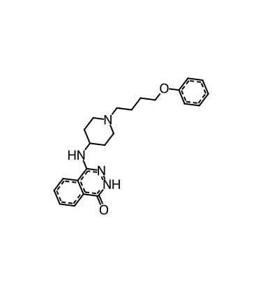 O=c1[nH]nc(NC2CCN(CCCCOc3ccccc3)CC2)c2ccccc12